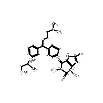 CN(C)CCOC(c1ccccc1)c1ccccc1.Cn1c(=O)c2[nH]c(Cl)nc2n(C)c1=O.NC(CC(=O)O)C(=O)O